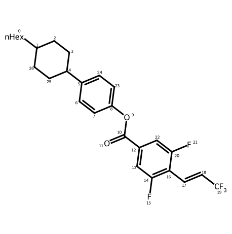 CCCCCCC1CCC(c2ccc(OC(=O)c3cc(F)c(/C=C/C(F)(F)F)c(F)c3)cc2)CC1